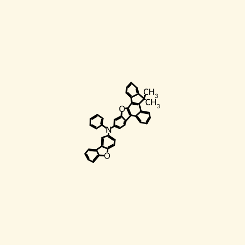 CC1(C)c2ccccc2-c2c1c1ccccc1c1c2oc2cc(N(c3ccccc3)c3ccc4oc5ccccc5c4c3)ccc21